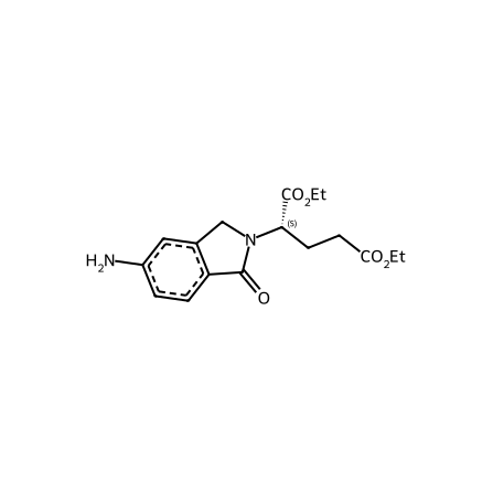 CCOC(=O)CC[C@@H](C(=O)OCC)N1Cc2cc(N)ccc2C1=O